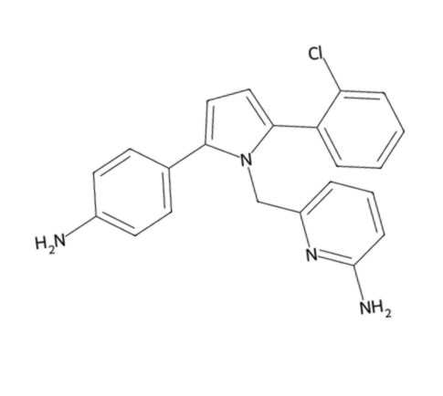 Nc1ccc(-c2ccc(-c3ccccc3Cl)n2Cc2cccc(N)n2)cc1